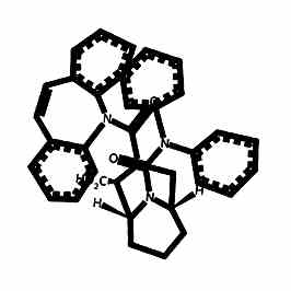 O=C(O)[C@@H]1[C@H]2CCC[C@@H](CN1C(=O)N1c3ccccc3C=Cc3ccccc31)N2C(=O)N(c1ccccc1)c1ccccc1